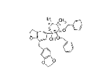 CC[C@H]1SC(O)(c2cc3c(c(Cc4ccc5c(c4)OCCO5)c2)OCC3)[C@H](OCc2ccccc2)[C@@H](OCc2ccccc2)[C@@H]1C